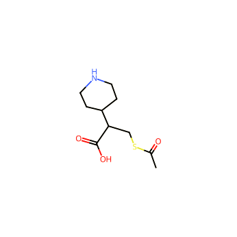 CC(=O)SCC(C(=O)O)C1CCNCC1